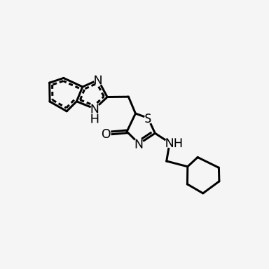 O=C1N=C(NCC2CCCCC2)SC1Cc1nc2ccccc2[nH]1